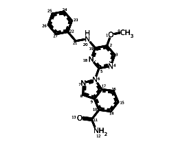 COc1cnc(-n2ncc3c(C(N)=O)cccc32)nc1NCc1ccccc1